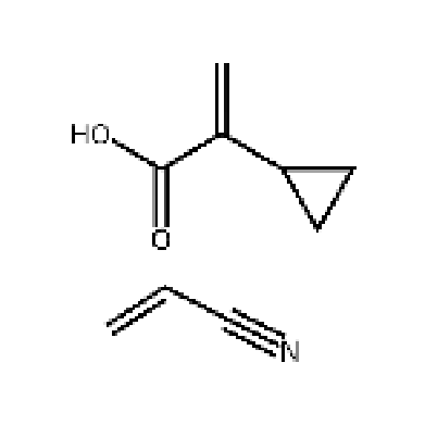 C=C(C(=O)O)C1CC1.C=CC#N